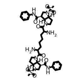 CS(=O)(=O)N1C[C@H](C(=O)Nc2ccccc2)[C@@H]2[C@H]1CCN2C(=O)C(N)CCCCC(N)C(=O)N1CC[C@@H]2[C@H]1[C@@H](C(=O)Nc1ccccc1)CN2S(C)(=O)=O